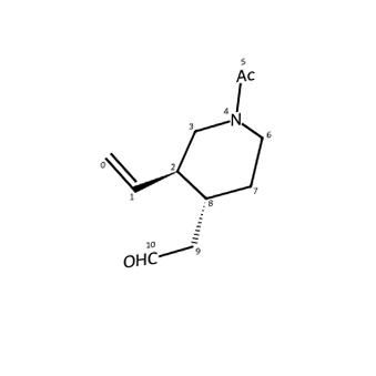 C=C[C@H]1CN(C(C)=O)CC[C@@H]1CC=O